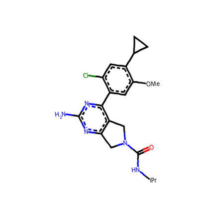 COc1cc(-c2nc(N)nc3c2CN(C(=O)NC(C)C)C3)c(Cl)cc1C1CC1